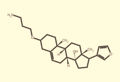 C[C@]12CCC(OCCCN)CC1=CC[C@@H]1[C@H]2CC[C@]2(C)C(c3ccoc3)CC[C@@]12O